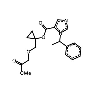 COC(=O)COCC1(OC(=O)c2cncn2C(C)c2ccccc2)CC1